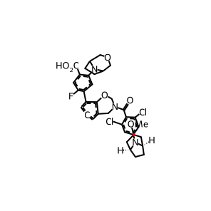 COC1C[C@H]2CC[C@@H](C1)N2c1cc(Cl)c(C(=O)N2COc3c(cccc3-c3cc(N4C5CCC4COC5)c(C(=O)O)cc3F)C2)c(Cl)c1